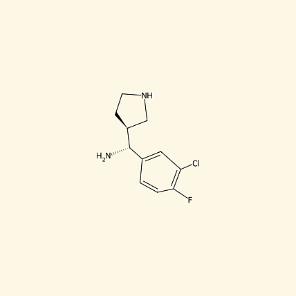 N[C@@H](c1ccc(F)c(Cl)c1)[C@H]1CCNC1